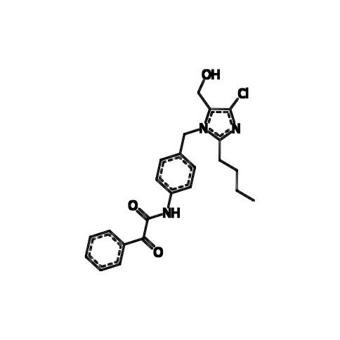 CCCCc1nc(Cl)c(CO)n1Cc1ccc(NC(=O)C(=O)c2ccccc2)cc1